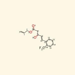 C=CCOC(=O)CC(=O)C=Cc1ccccc1C(F)(F)F